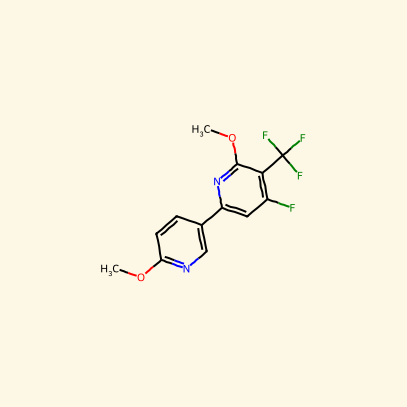 COc1ccc(-c2cc(F)c(C(F)(F)F)c(OC)n2)cn1